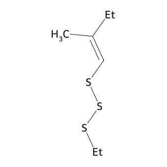 CCSSSC=C(C)CC